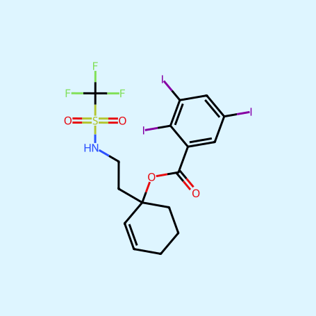 O=C(OC1(CCNS(=O)(=O)C(F)(F)F)C=CCCC1)c1cc(I)cc(I)c1I